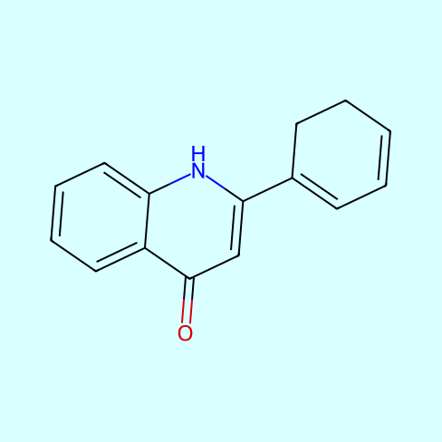 O=c1cc(C2=CC=CCC2)[nH]c2ccccc12